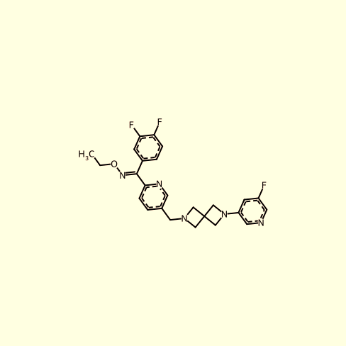 CCO/N=C(\c1ccc(F)c(F)c1)c1ccc(CN2CC3(C2)CN(c2cncc(F)c2)C3)cn1